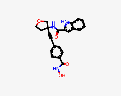 O=C(NO)c1ccc(C#CC2(NC(=O)c3cc4ccccc4[nH]3)CCOC2)cc1